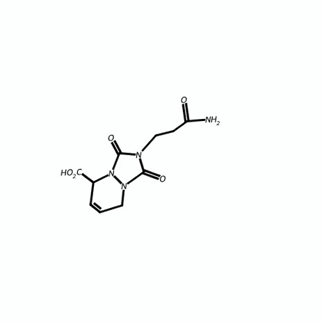 NC(=O)CCn1c(=O)n2n(c1=O)C(C(=O)O)C=CC2